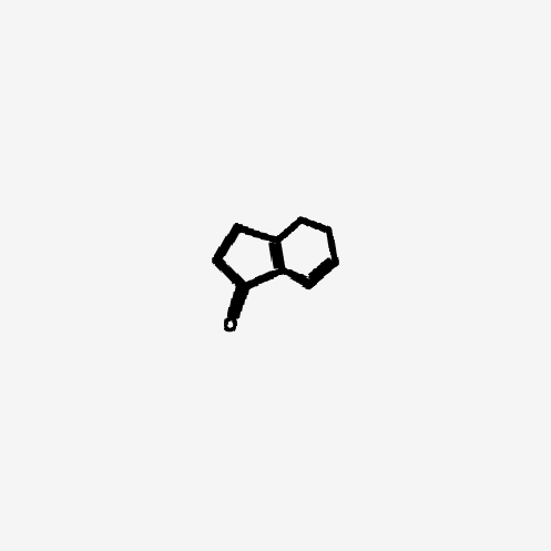 O=C1CCC2=C1C=CCC2